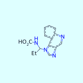 CCC(NC(=O)O)n1cnc2cnc3ccccc3c21